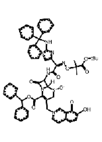 CC(C)(C)OC(=O)C(C)(C)O/N=C(\C(=O)NC1C(=O)N2C(C(=O)OC(c3ccccc3)c3ccccc3)=C(Cn3ccc4ccc(O)c(=O)c-4c3)C[S+]([O-])[C@@H]12)c1csc(NC(c2ccccc2)(c2ccccc2)c2ccccc2)n1